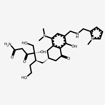 CN(C)c1cc(CNCc2cccn2C)c(O)c2c1C[C@@H](C[C@@H](CCO)[C@](O)(CO)C(=O)CC(N)=O)CC2=O